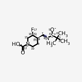 CC(C)(C)[S+]([O-])/N=C/[C@H]1CCN(C(=O)O)C[C@H]1F